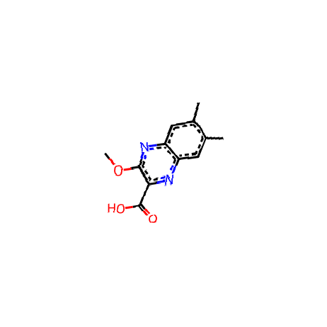 COc1nc2cc(C)c(C)cc2nc1C(=O)O